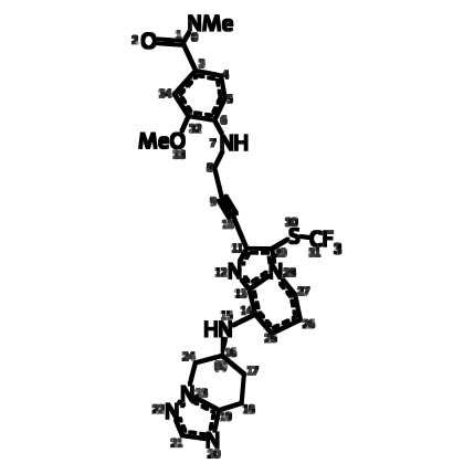 CNC(=O)c1ccc(NCC#Cc2nc3c(N[C@H]4CCc5ncnn5C4)cccn3c2SC(F)(F)F)c(OC)c1